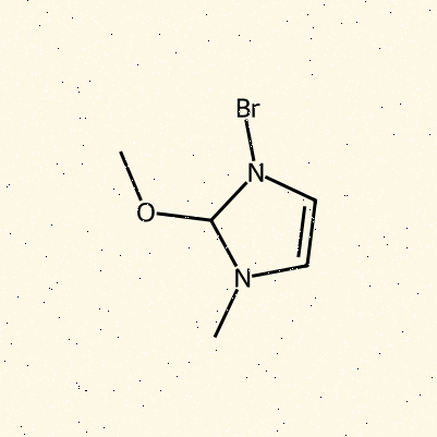 COC1N(C)C=CN1Br